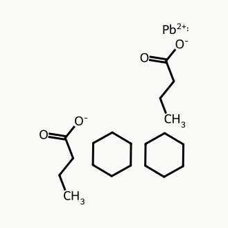 C1CCCCC1.C1CCCCC1.CCCC(=O)[O-].CCCC(=O)[O-].[Pb+2]